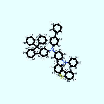 c1ccc(-c2ccc(N(c3ccc4c(c3)C(c3ccccc3)(c3ccccc3)c3ccccc3-4)c3ccc4c(c3)c3ccc5sc6ccccc6c5c3n4-c3ccccc3)cc2)cc1